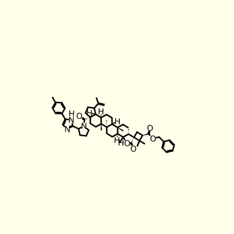 C=C(C)C1CC[C@]2(C(=O)N3CCCC3c3ncc(-c4ccc(C)cc4)[nH]3)CC[C@]3(C)[C@H](CC[C@@H]4[C@]5(C)CC[C@H]([C@@]6(C(=O)O)C[C@@H](C(=O)OCc7ccccc7)C6(C)C)C(C)(C)[C@H]5CC[C@]43C)[C@@H]12